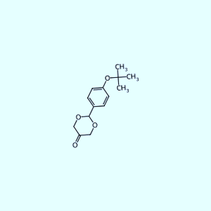 CC(C)(C)Oc1ccc(C2OCC(=O)CO2)cc1